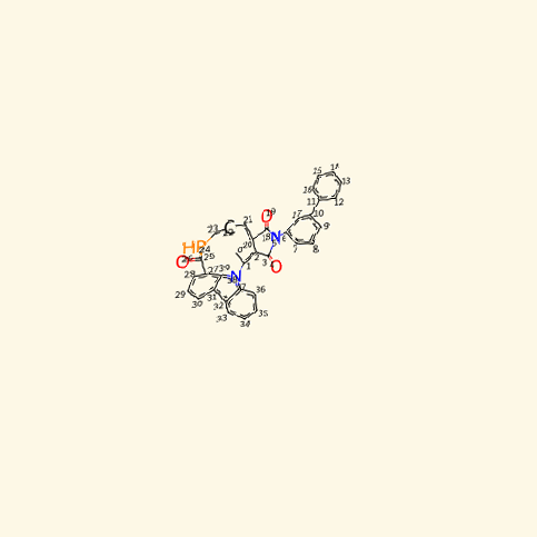 C/C1=C2/C(=O)N(c3cccc(-c4ccccc4)c3)C(=O)/C2=C/CCPC(=O)c2cccc3c4ccccc4n1c23